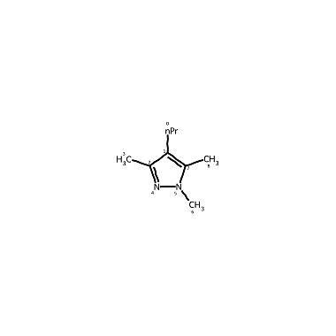 CCCc1c(C)nn(C)c1C